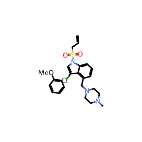 C=CCS(=O)(=O)n1cc(Cl)c2c(CN3CCN(C)CC3)cccc21.COc1ccccc1